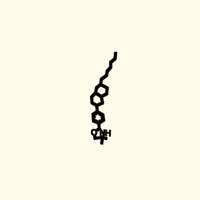 CCCCCCCC1CCC2CC(c3ccc(C4NC(C)(C)CO4)cc3)CCC2C1